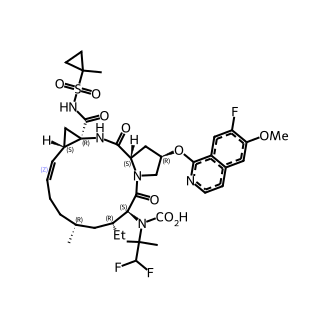 CC[C@@H]1C[C@H](C)CC/C=C\[C@@H]2C[C@@]2(C(=O)NS(=O)(=O)C2(C)CC2)NC(=O)[C@@H]2C[C@@H](Oc3nccc4cc(OC)c(F)cc34)CN2C(=O)[C@H]1N(C(=O)O)C(C)(C)C(F)F